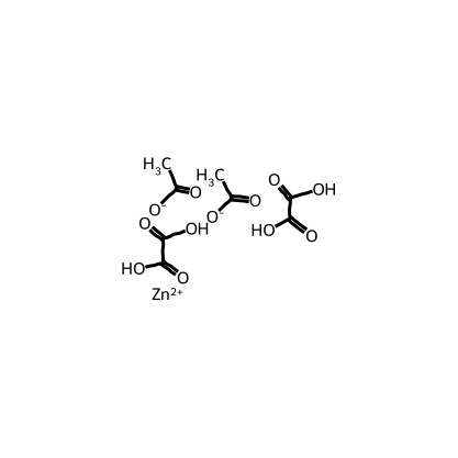 CC(=O)[O-].CC(=O)[O-].O=C(O)C(=O)O.O=C(O)C(=O)O.[Zn+2]